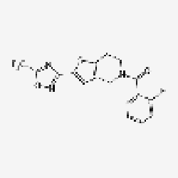 O=C(c1ccccc1F)N1CCc2sc(-c3noc(C(F)(F)F)n3)cc2C1